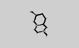 C[C@H]1CCC2CN(C)CCN2C1